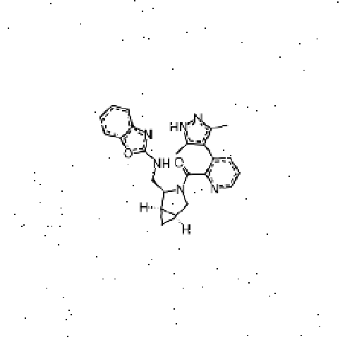 Cc1n[nH]c(C)c1-c1cccnc1C(=O)N1C[C@H]2C[C@H]2[C@H]1CNc1nc2ccccc2o1